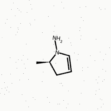 C[C@@H]1CC=CN1N